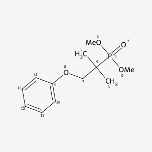 COP(=O)(OC)C(C)(C)COc1cc[c]cc1